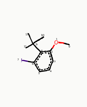 COc1cccc(I)c1C(C)(C)C